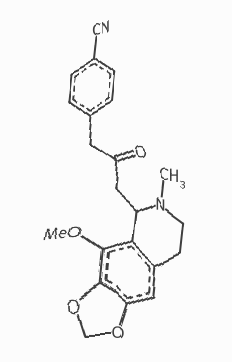 COc1c2c(cc3c1C(CC(=O)Cc1ccc(C#N)cc1)N(C)CC3)OCO2